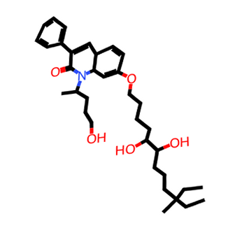 CCC(C)(CC)CCCC(O)C(O)CCCCOC1=CC2C(C=C1)C=C(c1ccccc1)C(=O)N2C(C)CCCO